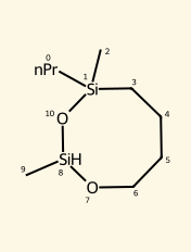 CCC[Si]1(C)CCCCO[SiH](C)O1